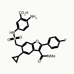 CNC(=O)c1c(-c2ccc(F)cc2)oc2cc(CS(=O)(=O)Nc3ccc(N)c(C(=O)O)c3)c(C3CC3)cc12